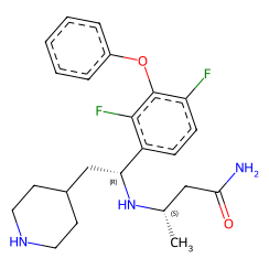 C[C@@H](CC(N)=O)N[C@H](CC1CCNCC1)c1ccc(F)c(Oc2ccccc2)c1F